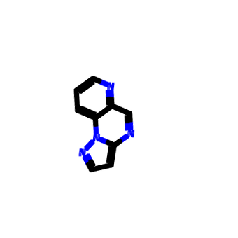 c1cnc2cnc3ccnn3c2c1